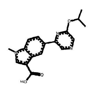 CC(C)Oc1cncc(-c2ccc3c(c2)c(C(=O)O)cn3C)n1